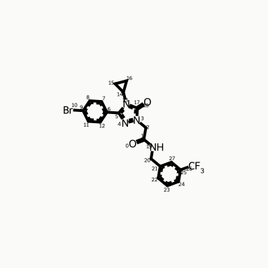 O=C(Cn1nc(-c2ccc(Br)cc2)n(C2CC2)c1=O)NCc1cccc(C(F)(F)F)c1